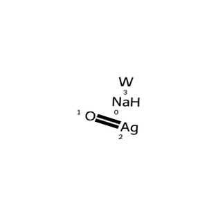 [NaH].[O]=[Ag].[W]